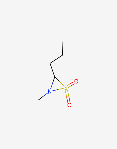 CCCC1N(C)S1(=O)=O